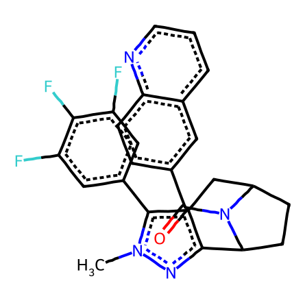 Cn1nc2c(c1-c1cc(F)c(F)c(F)c1)CC1CCC2N1C(=O)c1ccc2ncccc2c1